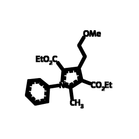 CCOC(=O)c1c(CCOC)c(C(=O)OCC)n(-c2ccccc2)c1C